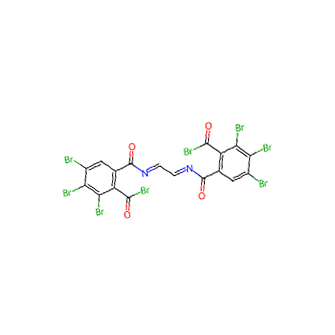 O=C(N=CC=NC(=O)c1cc(Br)c(Br)c(Br)c1C(=O)Br)c1cc(Br)c(Br)c(Br)c1C(=O)Br